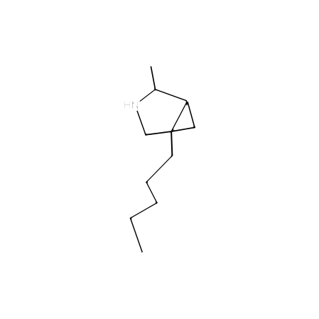 CCCCCC12CNC(C)C1C2